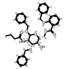 CCCC(=O)N[C@H]1C(OCc2ccccc2)O[C@H](COC(=O)c2ccccc2OCc2ccccc2)[C@@H](O)[C@@H]1OCc1ccccc1